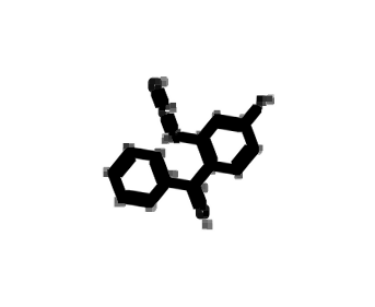 O=C=Nc1cc(F)ccc1C(=O)c1ccccc1